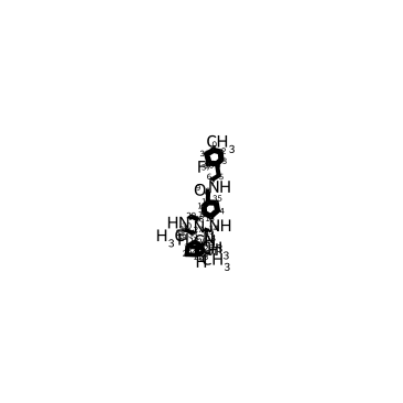 Cc1ccc(CCNC(=O)c2ccc(N/C(=N/C3C[C@H]4C[C@@H]([C@@H]3C)C4(C)C)N3CCN[C@@H](C)C3)cc2)c(F)c1